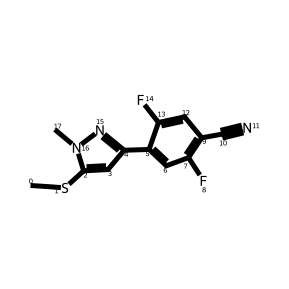 CSc1cc(-c2cc(F)c(C#N)cc2F)nn1C